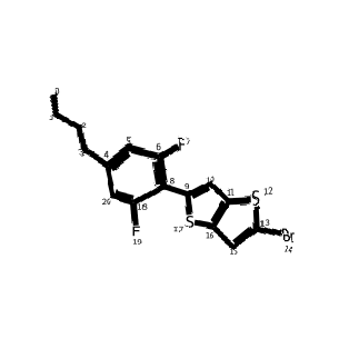 CCCCc1cc(F)c(-c2cc3sc(Br)cc3s2)c(F)c1